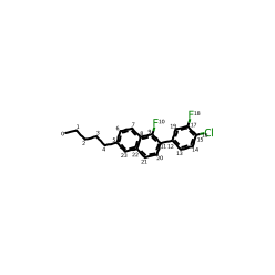 CCCCCc1ccc2c(F)c(-c3ccc(Cl)c(F)c3)ccc2c1